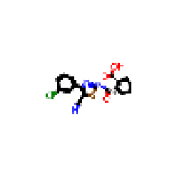 N#Cc1sc(NC(=O)[C@H]2CCCC[C@H]2C(=O)O)nc1-c1cccc(Cl)c1